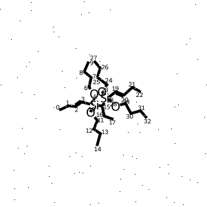 CCC=C[Si](OCCCC)(OCCCC)C(CC)[Si](C=CCC)(OCCCC)OCCCC